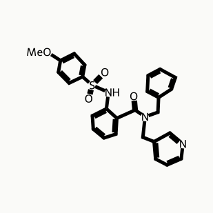 COc1ccc(S(=O)(=O)Nc2ccccc2C(=O)N(Cc2ccccc2)Cc2cccnc2)cc1